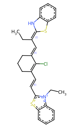 CCC(/C=C1\CCCC(/C=C/c2sc3ccccc3[n+]2CC)=C1Cl)=C1\Nc2ccccc2S1